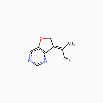 CC(C)=C1COc2cncnc21